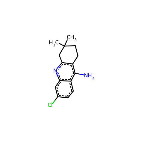 CC1(C)CCc2c(nc3cc(Cl)ccc3c2N)C1